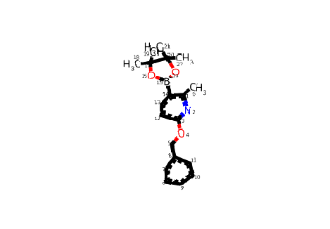 Cc1nc(OCc2ccccc2)ccc1B1OC(C)(C)C(C)(C)O1